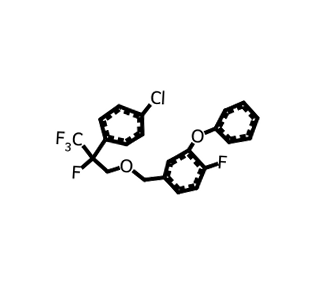 Fc1ccc(COCC(F)(c2ccc(Cl)cc2)C(F)(F)F)cc1Oc1ccccc1